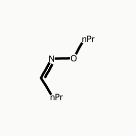 [CH2]CC/C=N\OCCC